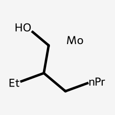 CCCCC(CC)CO.[Mo]